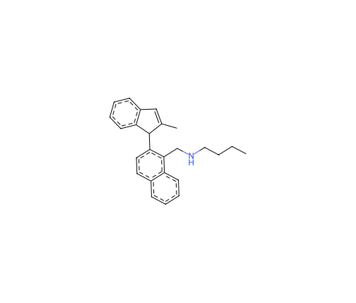 CCCCNCc1c(C2C(C)=Cc3ccccc32)ccc2ccccc12